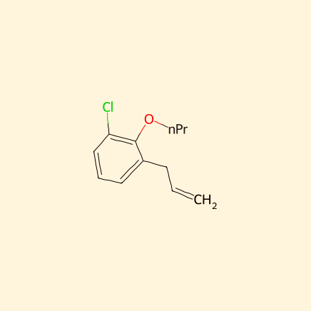 C=CCc1cccc(Cl)c1OCCC